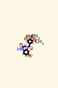 COc1cc(C(=O)N2CC(=O)Nc3ccc(Br)cc32)cc(OC)c1OC